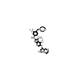 Cn1c(Nc2ccc(CN3CCCOCC3)c(C(F)(F)F)c2)nc2ncc(O/C(C=N)=C3\C=NC=CN3)c(Cl)c21